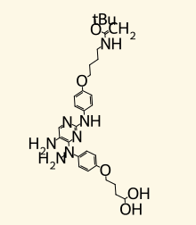 C=C(NCCCCOc1ccc(Nc2ncc(N)c(N(N)c3ccc(OCCCC(O)O)cc3)n2)cc1)OC(C)(C)C